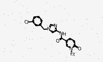 CCn1cc(C(=O)Nc2cn(Cc3cccc(Cl)c3)cn2)ccc1=O